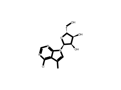 Cc1cn([C@H]2O[C@H](CO)[C@@H](O)[C@H]2O)c2ncnc(Cl)c12